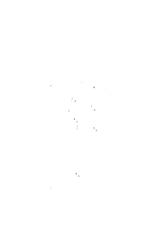 C[C@@H](C(=O)O)[C@H](C)N1C(=O)N/C(=N\c2ccc3c(c2)CCN3S(C)(=O)=O)N(Cc2ccc(Cl)cc2)C1O